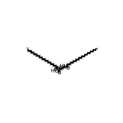 CCC=CCC=CCC=CCC=CCC=CCC=CCCC(=O)NCCCC(NC(=O)CCC=CCC=CCC=CCC=CCC=CCC=CCC)C(=O)O